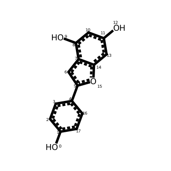 Oc1ccc(-c2cc3c(O)cc(O)cc3o2)cc1